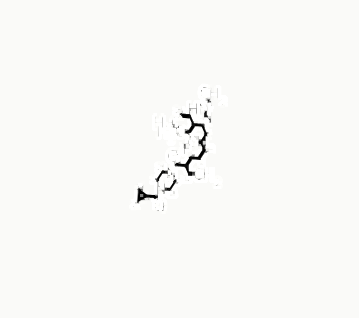 C=CN/N=C(/CC/C=C\C(F)=C(/C=C)C(=O)N1CCN(C(=O)C2CC2)CC1)C(/C=C\C)=C(C)C